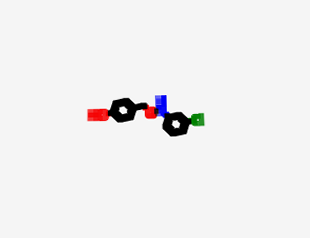 Oc1ccc(CONc2cccc(Cl)c2)cc1